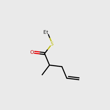 C=CCC(C)C(=O)SCC